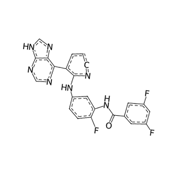 O=C(Nc1cc(Nc2ncccc2-c2ncnc3[nH]cnc23)ccc1F)c1cc(F)cc(F)c1